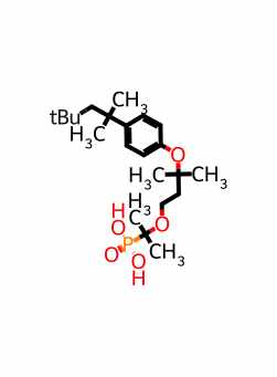 CC(C)(C)CC(C)(C)c1ccc(OC(C)(C)CCOC(C)(C)P(=O)(O)O)cc1